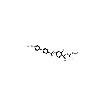 CCCCCCCCCCc1ccc(-c2ccc(C(=O)Oc3ccc(C(=O)OC(CCCCCC)C(F)(F)F)c(F)c3)cc2)cc1